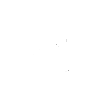 COC(=O)C1=CN(N)C2=Cc3c(C)c[nH]c3CC2=C1